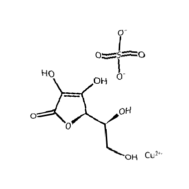 O=C1O[C@H]([C@@H](O)CO)C(O)=C1O.O=S(=O)([O-])[O-].[Cu+2]